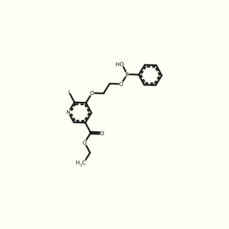 CCOC(=O)c1cnc(I)c(OCCOB(O)c2ccccc2)c1